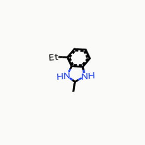 CCc1cccc2c1NC(C)N2